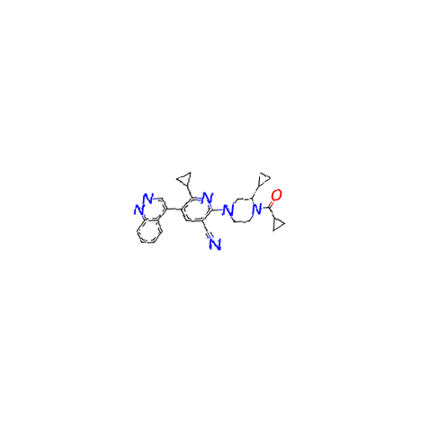 N#Cc1cc(-c2cnnc3ccccc23)c(C2CC2)nc1N1CCN(C(=O)C2CC2)C(C2CC2)C1